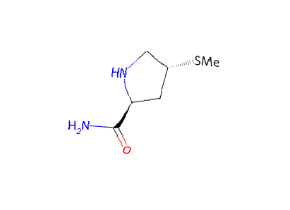 CS[C@H]1CN[C@H](C(N)=O)C1